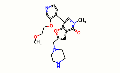 COCCOc1cnccc1-c1cn(C)c(=O)c2cc(CN3CCNCC3)oc12